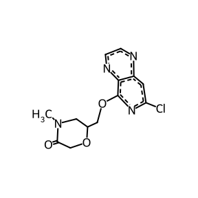 CN1CC(COc2nc(Cl)cc3nccnc23)OCC1=O